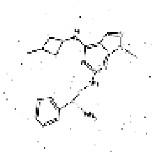 CC1CC(Nc2nc(NC[C@H](N)c3ccccc3)nc3c2cnn3C)C1